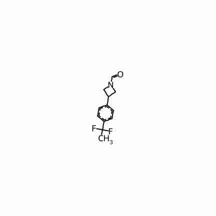 CC(F)(F)c1ccc(C2CN(C=O)C2)cc1